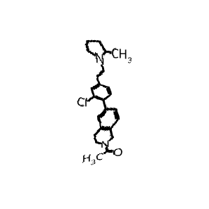 CC(=O)N1CCc2cc(-c3ccc(CCN4CCCC4C)cc3Cl)ccc2C1